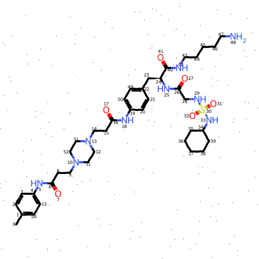 Cc1ccc(NC(=O)CCN2CCN(CCC(=O)Nc3ccc(C[C@H](NC(=O)CNS(=O)(=O)NC4CCCCC4)C(=O)NCCCCCN)cc3)CC2)cc1